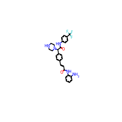 Nc1ccccc1NC(=O)C=Cc1ccc(C(C(=O)Nc2ccc(C(F)(F)F)cc2)N2CCNCC2)cc1